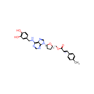 Cc1ccc(/C=C/C(=O)OC[C@@H]2CC[C@H](n3cnc4c(NCc5ccc(O)c(O)c5)ncnc43)O2)cc1